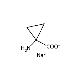 NC1(C(=O)[O-])CC1.[Na+]